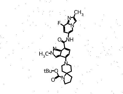 Cc1cn2cc(NC(=O)c3ccc(N4CCC5(CCCN5C(=O)OC(C)(C)C)CC4)c4cn(C)nc34)cc(F)c2n1